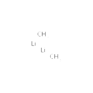 [CH3-].[CH3-].[Li+].[Li+]